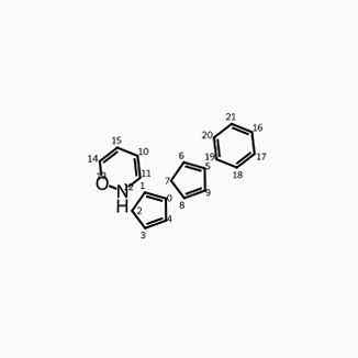 C1=CCC=C1.C1=CCC=C1.C1=CNOC=C1.c1ccccc1